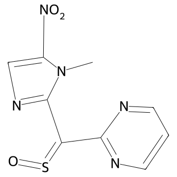 Cn1c([N+](=O)[O-])cnc1C(=S=O)c1ncccn1